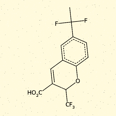 CC(F)(F)c1ccc2c(c1)C=C(C(=O)O)C(C(F)(F)F)O2